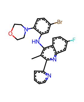 Cc1c(-c2ccccn2)nc2cc(F)ccc2c1Nc1cc(Br)ccc1N1CCOCC1